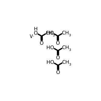 CC(=O)O.CC(=O)O.CC(=O)O.CC(=O)O.[V]